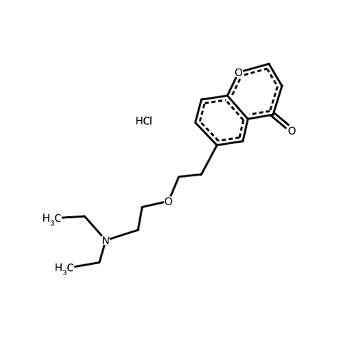 CCN(CC)CCOCCc1ccc2occc(=O)c2c1.Cl